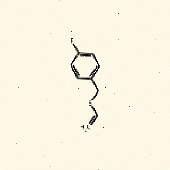 C=CSCc1ccc(F)cc1